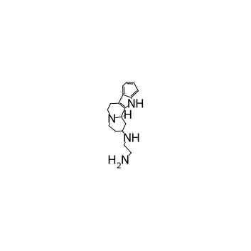 NCCN[C@H]1CCN2CCc3c([nH]c4ccccc34)[C@H]2C1